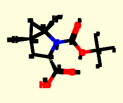 CC(C)(C)OC(=O)N1[C@H](C(=O)O)C[C@@H]2C[C@@H]21